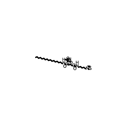 CCCCCCCCCCCCCCCCCNC(=O)OCC(COC(=O)NCCCCC[n+]1ccsc1)Oc1cc(C)on1